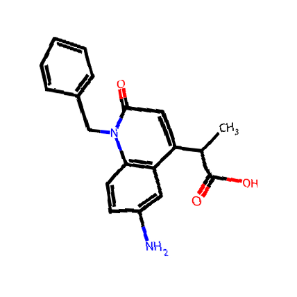 CC(C(=O)O)c1cc(=O)n(Cc2ccccc2)c2ccc(N)cc12